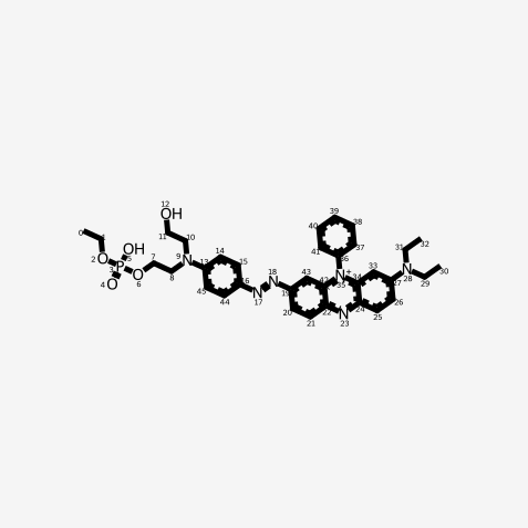 CCOP(=O)(O)OCCN(CCO)c1ccc(/N=N/c2ccc3nc4ccc(N(CC)CC)cc4[n+](-c4ccccc4)c3c2)cc1